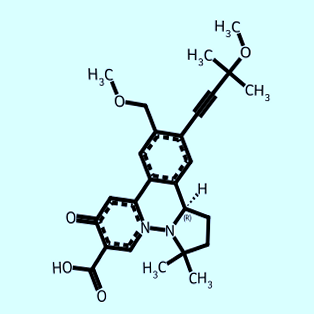 COCc1cc2c(cc1C#CC(C)(C)OC)[C@H]1CCC(C)(C)N1n1cc(C(=O)O)c(=O)cc1-2